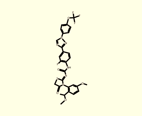 COc1ccc(C(C)OC)c(N2C(=O)CSC2=NC(=O)Nc2ccc(-c3ncn(-c4ccc(OC(F)(F)F)cc4)n3)cc2F)c1